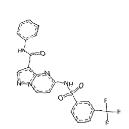 O=C(Nc1ccccc1)c1cnn2ccc(NS(=O)(=O)c3cccc(C(F)(F)F)c3)nc12